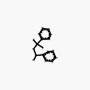 C[C](CC(C)(C)c1ccccc1)c1ccccc1